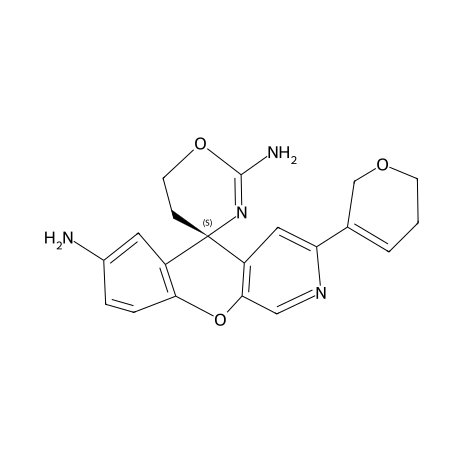 NC1=N[C@@]2(CCO1)c1cc(N)ccc1Oc1cnc(C3=CCCOC3)cc12